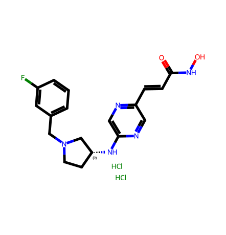 Cl.Cl.O=C(C=Cc1cnc(N[C@@H]2CCN(Cc3cccc(F)c3)C2)cn1)NO